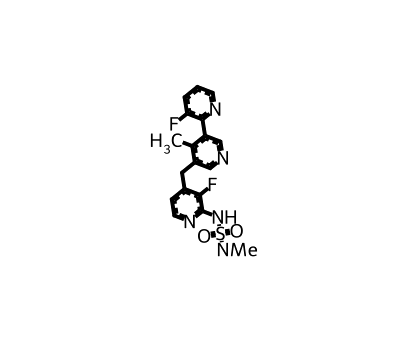 CNS(=O)(=O)Nc1nccc(Cc2cncc(-c3ncccc3F)c2C)c1F